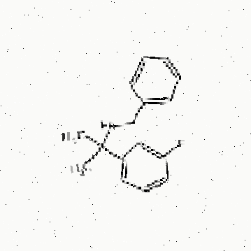 CC(C)(BCc1ccccc1)c1cccc(F)c1